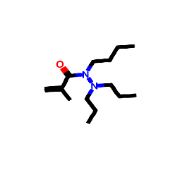 C=C(C)C(=O)N(CCCC)N(CCC)CCC